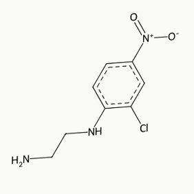 NCCNc1ccc([N+](=O)[O-])cc1Cl